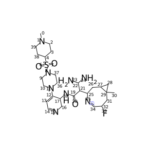 CN1CCC(S(=O)(=O)N2CCN(C3=CC=NCC3NC(=O)C(C(N)N)C3CC4CC4(C)CC(F)/C=N\3)CC2)CC1